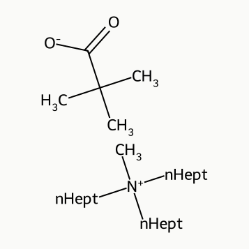 CC(C)(C)C(=O)[O-].CCCCCCC[N+](C)(CCCCCCC)CCCCCCC